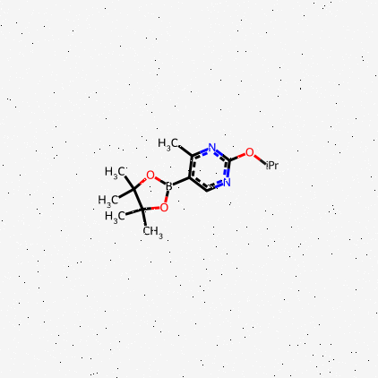 Cc1nc(OC(C)C)ncc1B1OC(C)(C)C(C)(C)O1